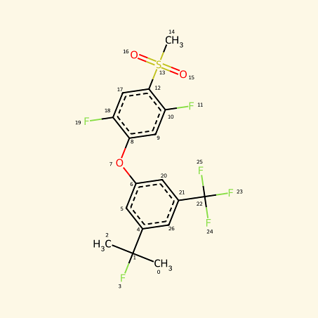 CC(C)(F)c1cc(Oc2cc(F)c(S(C)(=O)=O)cc2F)cc(C(F)(F)F)c1